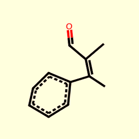 C/C(C=O)=C(\C)c1ccccc1